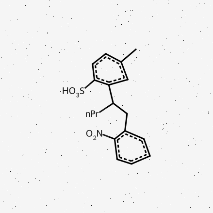 CCCC(Cc1ccccc1[N+](=O)[O-])c1cc(C)ccc1S(=O)(=O)O